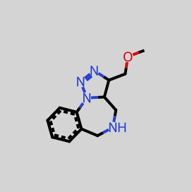 COCC1N=NN2c3ccccc3CNCC12